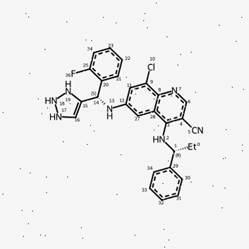 CC[C@@H](Nc1c(C#N)cnc2c(Cl)cc(N[C@H](C3=CNNN3)c3ccccc3F)cc12)c1ccccc1